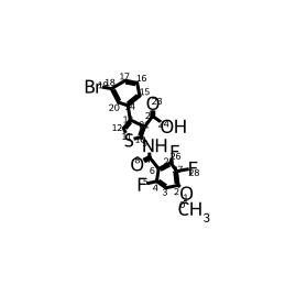 COc1cc(F)c(C(=O)Nc2scc(-c3cccc(Br)c3)c2C(=O)O)c(F)c1F